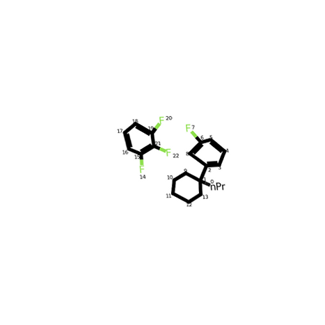 CCCC1(c2cccc(F)c2)CCCCC1.Fc1cccc(F)c1F